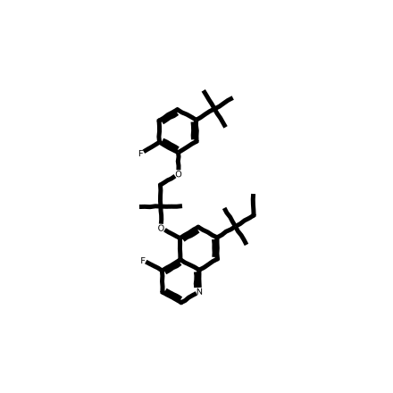 CCC(C)(C)c1cc(OC(C)(C)COc2cc(C(C)(C)C)ccc2F)c2c(F)ccnc2c1